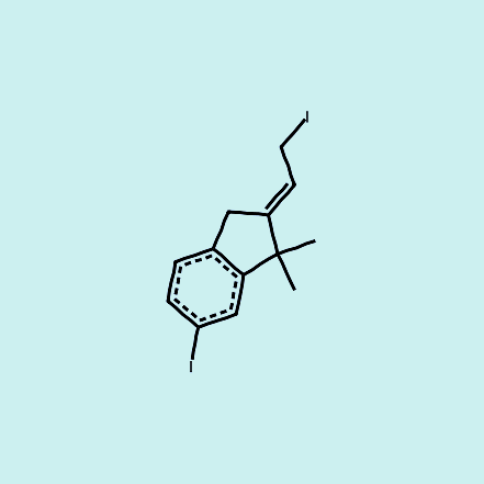 CC1(C)/C(=C/CI)Cc2ccc(I)cc21